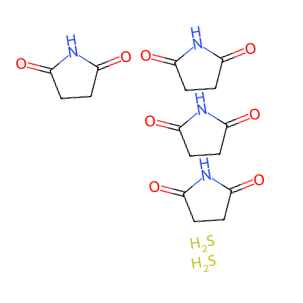 O=C1CCC(=O)N1.O=C1CCC(=O)N1.O=C1CCC(=O)N1.O=C1CCC(=O)N1.S.S